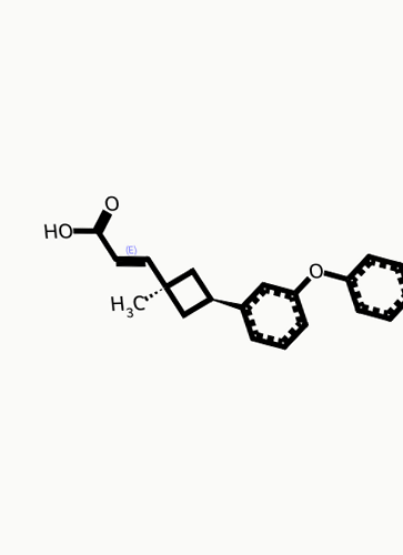 C[C@]1(/C=C/C(=O)O)C[C@@H](c2cccc(Oc3ccccc3)c2)C1